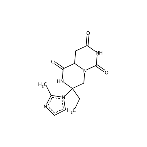 CCC1(n2ccnc2C)CN2C(=O)NC(=O)CC2C(=O)N1